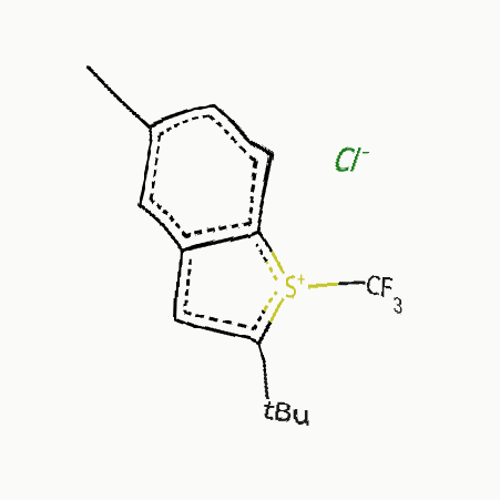 Cc1ccc2c(c1)cc(C(C)(C)C)[s+]2C(F)(F)F.[Cl-]